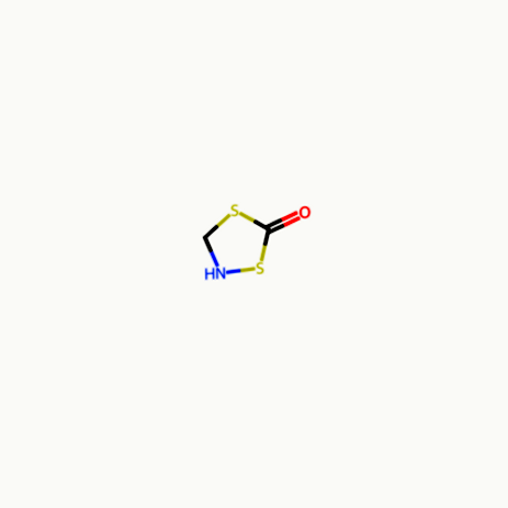 O=C1SCNS1